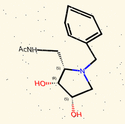 CC(=O)NC[C@H]1[C@@H](O)[C@@H](O)CN1Cc1ccccc1